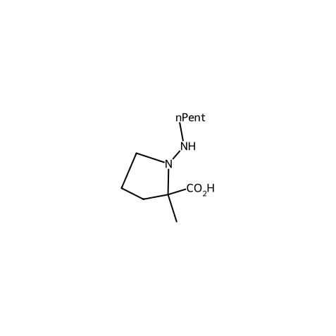 CCCCCNN1CCCC1(C)C(=O)O